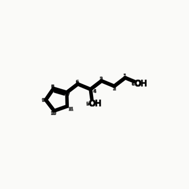 OCCCC(O)CC1=CCCC1